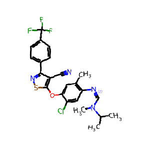 Cc1cc(Oc2snc(-c3ccc(C(F)(F)F)cc3)c2C#N)c(Cl)cc1/N=C\N(C)C(C)C